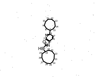 B(c1nc2ccc(C3CCCCCCCC3)nc2o1)C1CCCCCCCCCC1